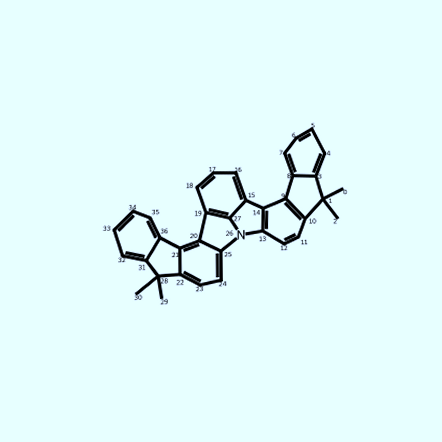 CC1(C)c2ccccc2-c2c1ccc1c2c2cccc3c4c5c(ccc4n1c23)C(C)(C)c1ccccc1-5